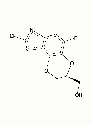 OC[C@H]1COc2c(c(F)cc3nc(Cl)sc23)O1